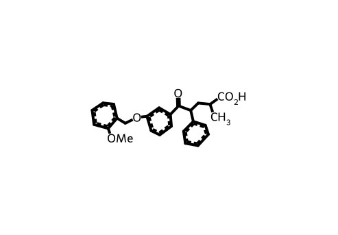 COc1ccccc1COc1cccc(C(=O)C(CC(C)C(=O)O)c2ccccc2)c1